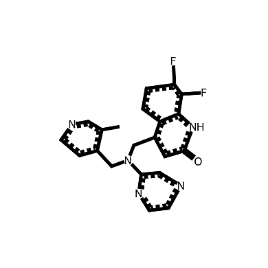 Cc1cnccc1CN(Cc1cc(=O)[nH]c2c(F)c(F)ccc12)c1cnccn1